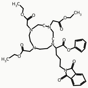 CCOC(=O)CN1CCN(CC(=O)OCC)CCN(C(CCCN2C(=O)c3ccccc3C2=O)C(=O)Oc2ccccc2)CCN(CC(=O)OCC)CC1